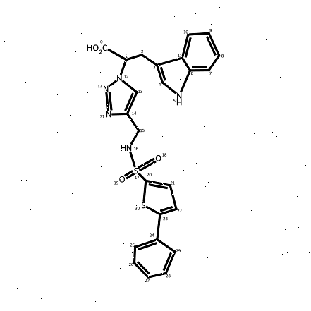 O=C(O)C(Cc1c[nH]c2ccccc12)n1cc(CNS(=O)(=O)c2ccc(-c3ccccc3)s2)nn1